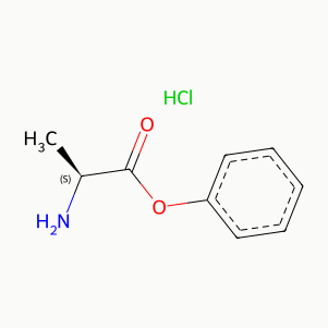 C[C@H](N)C(=O)Oc1ccccc1.Cl